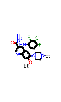 CCOc1cc2ncc(C(N)=O)c(Nc3ccc(F)c(Cl)c3F)c2cc1N1CCN(CC)CC1